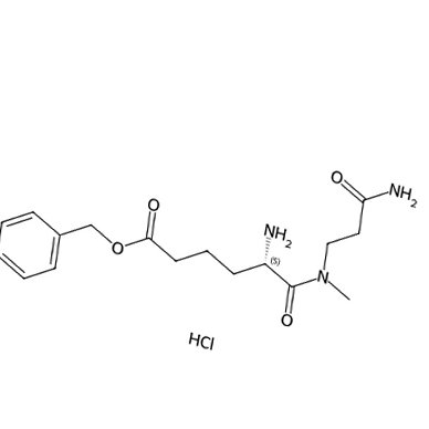 CN(CCC(N)=O)C(=O)[C@@H](N)CCCC(=O)OCc1ccccc1.Cl